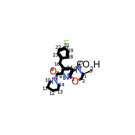 C[C@H]1COc2nc(C(=O)N3CCCCC3)c(Cc3ccc(F)cc3)cc2N1C(=O)O